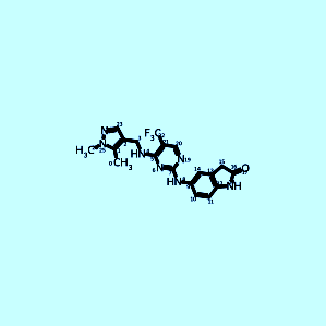 Cc1c(CNc2nc(Nc3ccc4c(c3)CC(=O)N4)ncc2C(F)(F)F)cnn1C